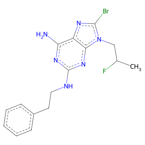 CC(F)Cn1c(Br)nc2c(N)nc(NCCc3ccccc3)nc21